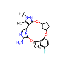 C[C@H]1Oc2nc(cnc2N)-c2c(nn(C)c2C#N)OC2CCC(C2)Oc2ccc(F)cc21